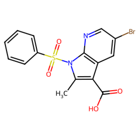 Cc1c(C(=O)O)c2cc(Br)cnc2n1S(=O)(=O)c1ccccc1